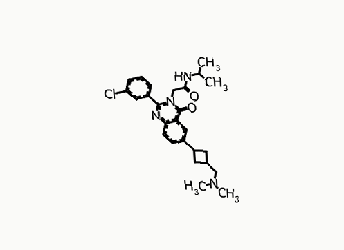 CC(C)NC(=O)Cn1c(-c2cccc(Cl)c2)nc2ccc(C3CC(CN(C)C)C3)cc2c1=O